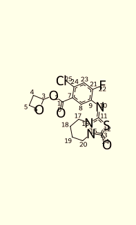 O=C(OC1CCO1)c1cc(/N=c2/sc(=O)n3n2CCCC3)c(F)cc1Cl